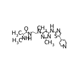 CN[C@@H](C)C(=O)NCCN(C)c1cc(Nc2ncc(-c3ccncc3)s2)nc(C)n1